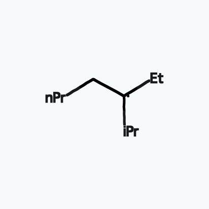 CCCC[C](CC)C(C)C